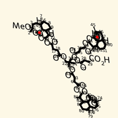 CO[C@@]1(C)CC[C@H]2[C@H](C)CC[C@H]3[C@@H](C)[C@H](OC(=O)CCC(=O)OCC(COC(=O)CCC(=O)O)(COC(=O)CCC(=O)O[C@@H]4O[C@@H]5O[C@@]6(C)CC[C@H]7[C@H](C)CC[C@@H]([C@H]4C)[C@@]57OO6)COC(=O)CCC(=O)O[C@@H]4OC[C@@H]5O[C@@]6(C)CC[C@H]7[C@H](C)CC[C@@](C)([C@H]4C)[C@@]57OO6)OC[C@]32OO1